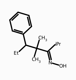 CCC(c1ccccc1)C(C)(C)C(=NO)C(C)C